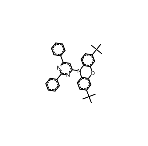 CC(C)(C)c1ccc2c(c1)Oc1cc(C(C)(C)C)ccc1N2c1cc(-c2ccccc2)nc(-c2ccccc2)n1